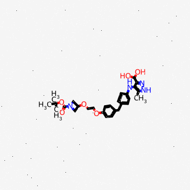 Cc1[nH]nc(C(O)O)c1Nc1ccc(Cc2ccc(OCCOC3CN(C(=O)OC(C)(C)C)C3)cc2)cc1